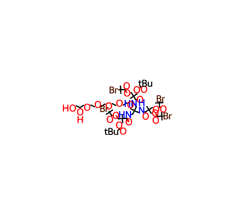 CC(C)(C)C(=O)OCC(C)(COC(=O)C(C)(C)Br)C(=O)NCC(CNC(=O)C(C)(COC(=O)C(C)(C)C)COC(=O)C(C)(C)Br)(CNC(=O)C(C)(COC(=O)C(C)(C)Br)COC(=O)C(C)(C)Br)COCCOCCOCCOCCOCC(O)CO